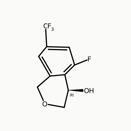 O[C@H]1COCc2cc(C(F)(F)F)cc(F)c21